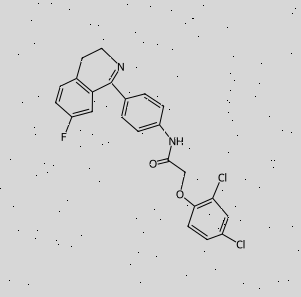 O=C(COc1ccc(Cl)cc1Cl)Nc1ccc(C2=NCCc3ccc(F)cc32)cc1